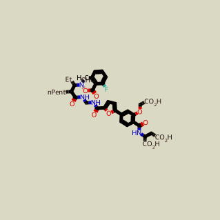 CCCCCC(C(=O)NCNC(=O)c1ccc(-c2ccc(C(=O)NC(CC(=O)O)C(=O)O)c(OCC(=O)O)c2)o1)C(CC)N(C=O)OC(=O)c1c(C)cccc1F